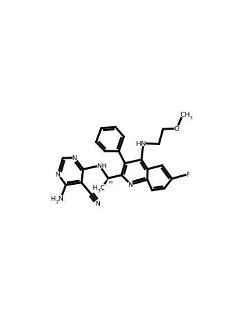 COCCNc1c(-c2ccccc2)c([C@@H](C)Nc2ncnc(N)c2C#N)nc2ccc(F)cc12